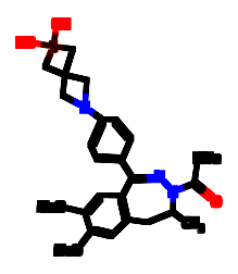 CNC(=O)N1N=C(c2ccc(N3CC4(C3)CS(O)(O)C4)cc2)c2cc(OC)c(OC)cc2CC1C